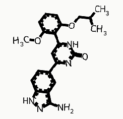 COc1cccc(OCC(C)C)c1-c1cc(-c2ccc3[nH]nc(N)c3c2)nc(=O)[nH]1